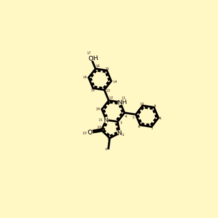 Cc1nc2c(-c3ccccc3)[nH]c(-c3ccc(O)cc3)cn-2c1=O